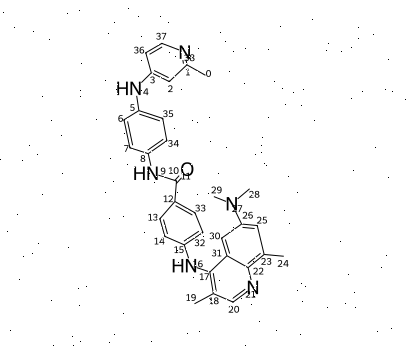 Cc1cc(Nc2ccc(NC(=O)c3ccc(Nc4c(C)cnc5c(C)cc(N(C)C)cc45)cc3)cc2)ccn1